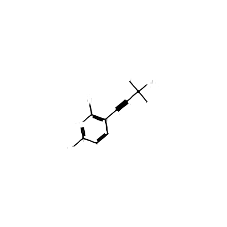 CC(C)(N)C#Cc1ccc(Cl)nc1Cl